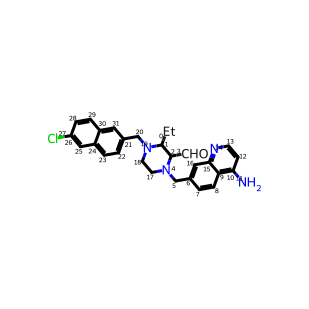 CCC1C(C=O)N(Cc2ccc3c(N)ccnc3c2)CCN1Cc1ccc2cc(Cl)ccc2c1